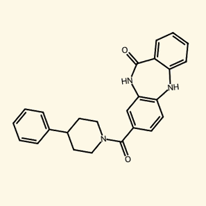 O=C1Nc2cc(C(=O)N3CCC(c4ccccc4)CC3)ccc2Nc2ccccc21